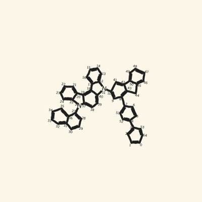 c1ccc(-c2ccc(-c3cc(-n4c5ccccc5c5c6c7ccccc7n(-c7cccc8ccccc78)c6ccc54)cc4c3Cc3ccccc3-4)cc2)cc1